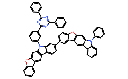 c1ccc(-c2nc(-c3ccccc3)nc(-c3cccc(-n4c5cc(-c6ccc7oc8cc9c(cc8c7c6)c6ccccc6n9-c6ccccc6)ccc5c5cc6c(cc54)oc4ccccc46)c3)n2)cc1